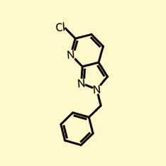 Clc1ccc2cn(Cc3ccccc3)nc2n1